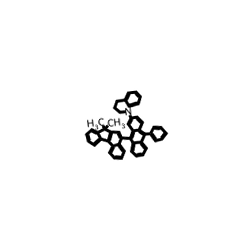 CC1(C)c2ccccc2-c2c1cc(-c1c3ccccc3c(-c3ccccc3)c3ccc(N4CCCc5ccccc54)cc13)c1ccccc21